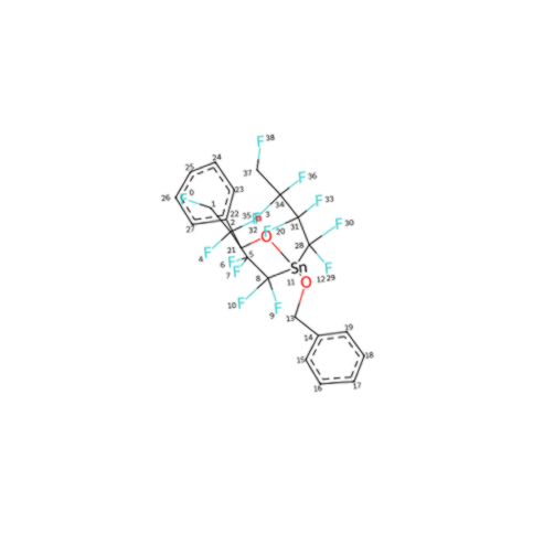 FCC(F)(F)C(F)(F)[C](F)(F)[Sn]([O]Cc1ccccc1)([O]Cc1ccccc1)[C](F)(F)C(F)(F)C(F)(F)CF